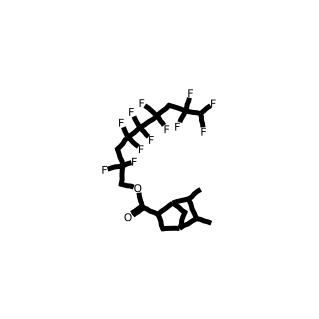 CC1C2CC(C(=O)OCC(F)(F)CC(F)(F)C(F)(F)C(F)(F)CC(F)(F)C(F)F)C(C2)C1C